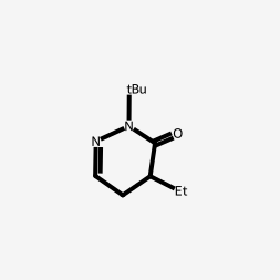 CCC1CC=NN(C(C)(C)C)C1=O